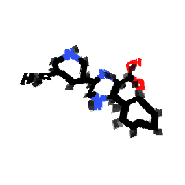 Cc1cncc(-c2cnc(-c3ccccc3)c(C(=O)O)n2)c1